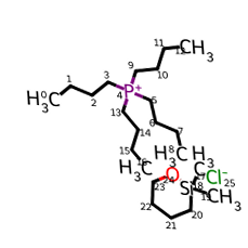 CCCC[P+](CCCC)(CCCC)CCCC.C[Si]1(C)CCCCO1.[Cl-]